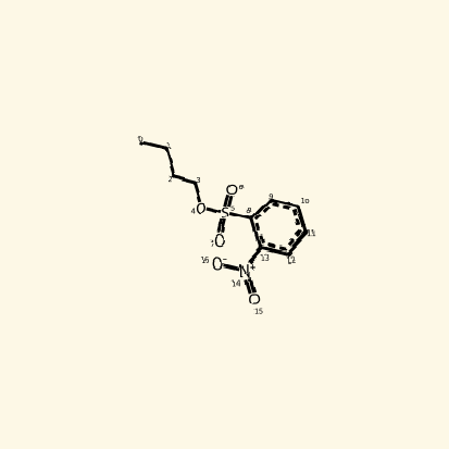 CCCCOS(=O)(=O)c1ccccc1[N+](=O)[O-]